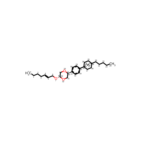 CCCCC=CCO[C@@H]1CO[C@@H](c2ccc(C34CCC(CCCCC)(CC3)CC4)cc2)CO1